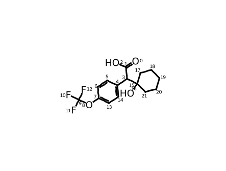 O=C(O)C(c1ccc(OC(F)(F)F)cc1)C1(O)CCCCC1